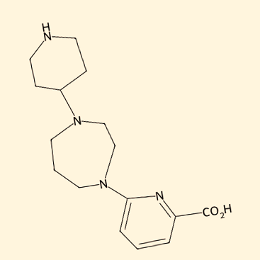 O=C(O)c1cccc(N2CCCN(C3CCNCC3)CC2)n1